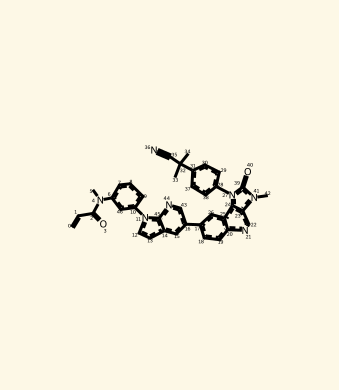 C=CC(=O)N(C)c1cccc(-n2ccc3cc(-c4ccc5ncc6c(c5c4)n(-c4ccc(C(C)(C)C#N)cc4)c(=O)n6C)cnc32)c1